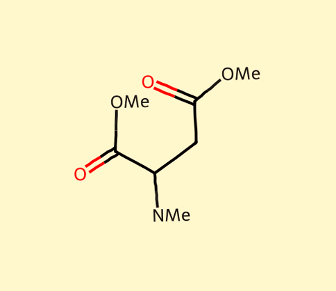 CNC(CC(=O)OC)C(=O)OC